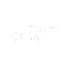 COc1cc(Cc2csc(N3CCC(S(=O)(=O)c4ccccc4C(F)(F)F)CC3)n2)cc(OC)c1